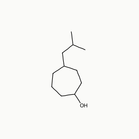 CC(C)CC1CCCC(O)CC1